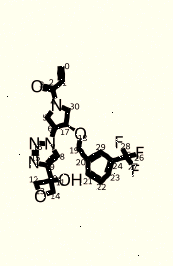 C=CC(=O)N1CC(n2cc(C3(O)COC3)nn2)[C@H](OCc2cccc(C(F)(F)F)c2)C1